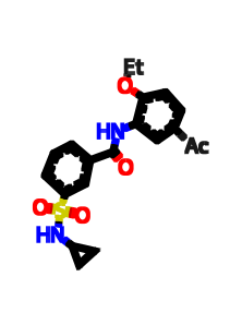 CCOc1ccc(C(C)=O)cc1NC(=O)c1cccc(S(=O)(=O)NC2CC2)c1